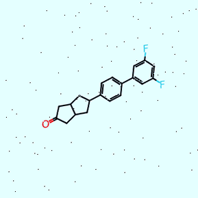 O=C1CC2CC(c3ccc(-c4cc(F)cc(F)c4)cc3)CC2C1